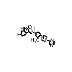 Cc1cc(NC=C2C(=O)Nc3cc(F)ccc32)ccc1N1CCN(c2cnccn2)CC1